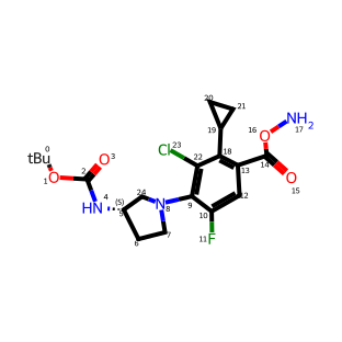 CC(C)(C)OC(=O)N[C@H]1CCN(c2c(F)cc(C(=O)ON)c(C3CC3)c2Cl)C1